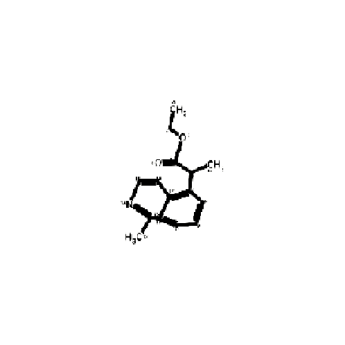 CCOC(=O)C(C)c1cccc2c(C)nccc12